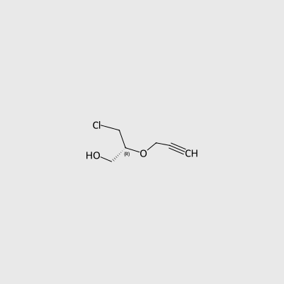 C#CCO[C@H](CO)CCl